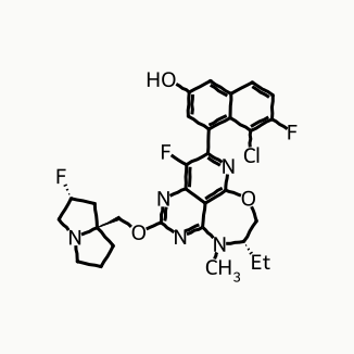 CC[C@H]1COc2nc(-c3cc(O)cc4ccc(F)c(Cl)c34)c(F)c3nc(OC[C@@]45CCCN4C[C@H](F)C5)nc(c23)N1C